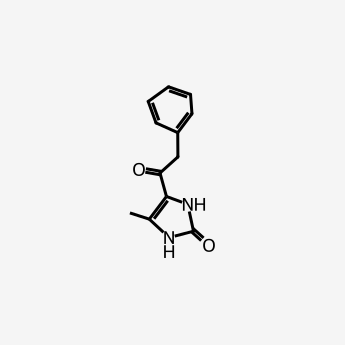 Cc1[nH]c(=O)[nH]c1C(=O)Cc1ccccc1